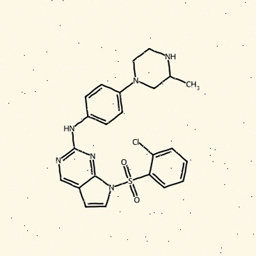 CC1CN(c2ccc(Nc3ncc4ccn(S(=O)(=O)c5ccccc5Cl)c4n3)cc2)CCN1